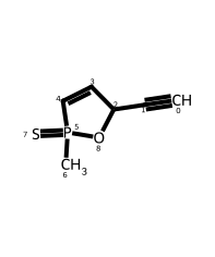 C#CC1C=CP(C)(=S)O1